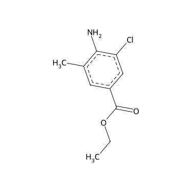 CCOC(=O)c1cc(C)c(N)c(Cl)c1